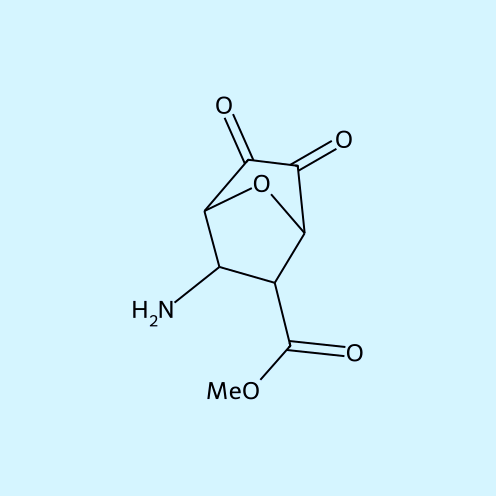 COC(=O)C1C2OC(C(=O)C2=O)C1N